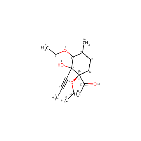 CC#CC1(O)C(OCC)C(C)CC[C@]1(OCC)C(C)=O